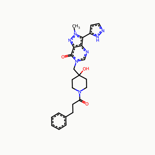 Cn1nc2c(=O)n(CC3(O)CCN(C(=O)CCc4ccccc4)CC3)cnc2c1-c1ccn[nH]1